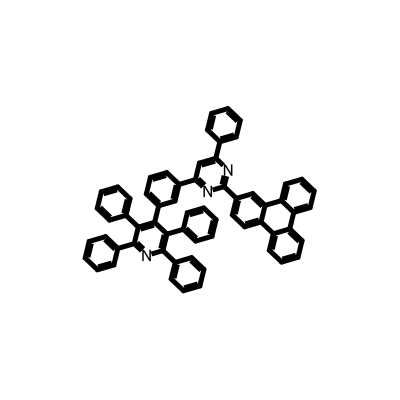 c1ccc(-c2cc(-c3cccc(-c4c(-c5ccccc5)c(-c5ccccc5)nc(-c5ccccc5)c4-c4ccccc4)c3)nc(-c3ccc4c5ccccc5c5ccccc5c4c3)n2)cc1